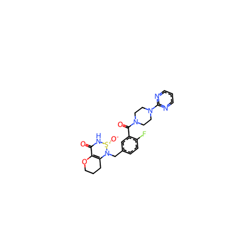 O=C1N[S+]([O-])N(Cc2ccc(F)c(C(=O)N3CCN(c4ncccn4)CC3)c2)C2=C1OCCC2